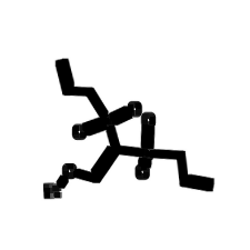 C=CCS(=O)(=O)C(=COCC)S(=O)(=O)CC=C